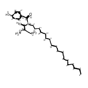 CCCCCCCCCCCCCCCCCCN(C(=O)c1ccc(O)cc1)C(=O)C(N)N